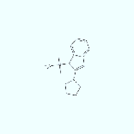 C[Si](C)(N)C1C(N2CCCC2)=Cc2ccccc21